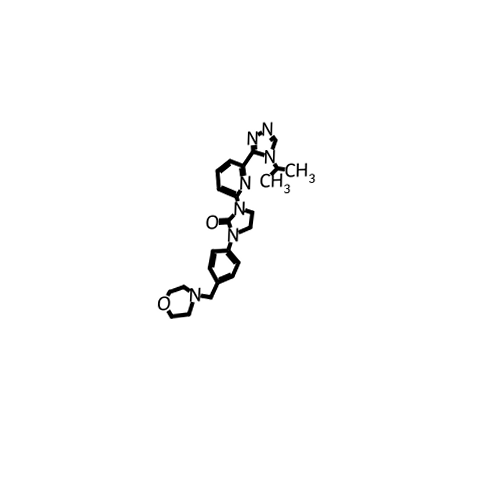 CC(C)n1cnnc1-c1cccc(N2CCN(c3ccc(CN4CCOCC4)cc3)C2=O)n1